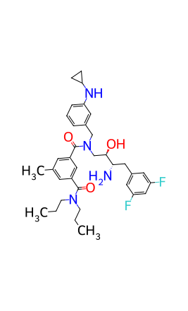 CCCN(CCC)C(=O)c1cc(C)cc(C(=O)N(Cc2cccc(NC3CC3)c2)C[C@@H](O)[C@@H](N)Cc2cc(F)cc(F)c2)c1